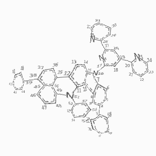 c1ccc(-c2ccc3c(c2)c2c4c(ccc2n3-c2cc(-c3ccccn3)cc(-c3ccccn3)n2)-c2ccc(-c3ccccc3)c3cccc(c23)N4c2ccccc2)cc1